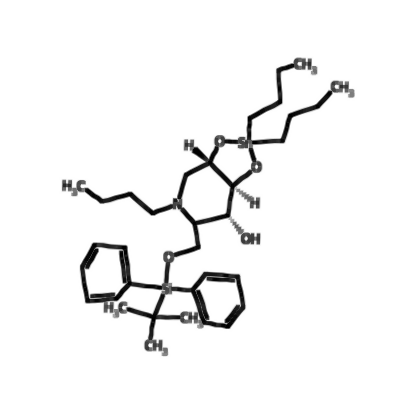 CCCCN1C[C@@H]2[O][Sn]([CH2]CCC)([CH2]CCC)[O][C@H]2[C@H](O)C1CO[Si](c1ccccc1)(c1ccccc1)C(C)(C)C